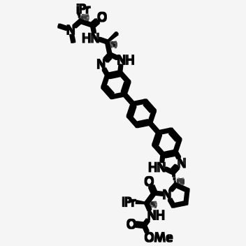 COC(=O)N[C@H](C(=O)N1CCC[C@H]1c1nc2ccc(-c3ccc(-c4ccc5nc([C@H](C)NC(=O)[C@@H](C(C)C)N(C)C)[nH]c5c4)cc3)cc2[nH]1)C(C)C